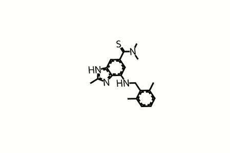 Cc1nc2c(NCc3c(C)cccc3C)cc(C(=S)N(C)C)cc2[nH]1